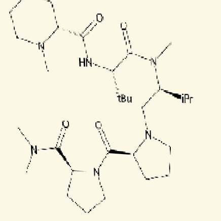 CC(C)[C@@H](CN1CCC[C@H]1C(=O)N1CCC[C@H]1C(=O)N(C)C)N(C)C(=O)[C@@H](NC(=O)[C@H]1CCCCN1C)C(C)(C)C